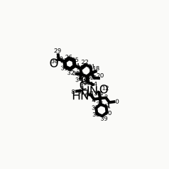 CCCC(CCNC(C)=C=O)(C(=O)NC/C=C1\C(C)(CC)CC=C(c2ccc(C(C)=O)cc2)C1(C)C)C1CCCCC1